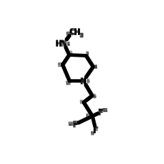 CNC1CCN(CCC(F)(F)F)CC1